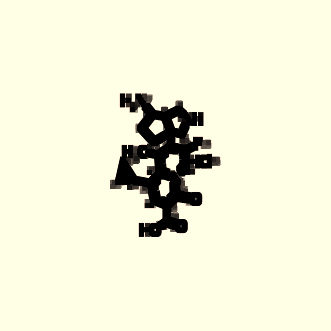 Cc1c(C23CCC(N)C2CNC3)c(F)cn2c(=O)c(C(=O)O)cc(C3CC3)c12.Cl